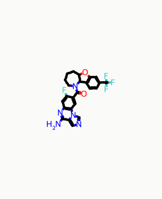 Nc1nc2cc(F)c(C(=O)N3CCCCC4Oc5cc(C(F)(F)F)ccc5C43)cc2n2cncc12